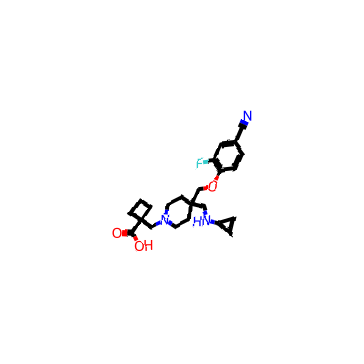 N#Cc1ccc(OCC2(CNC3CC3)CCN(CC3(C(=O)O)CCC3)CC2)c(F)c1